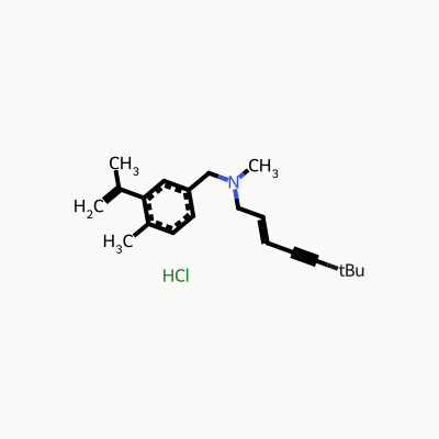 C=C(C)c1cc(CN(C)C/C=C/C#CC(C)(C)C)ccc1C.Cl